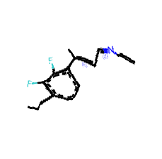 C=C/N=C\C=C(/C)c1ccc(CC)c(F)c1F